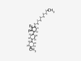 CCCCCCCCCCc1ccc(C2=CCC(C3CCC(C)CC3)C=C2)c(F)c1F